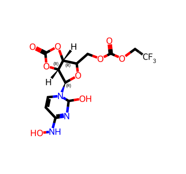 O=C(OCC1O[C@@H](N2C=CC(NO)=NC2O)[C@@H]2OC(=O)O[C@H]12)OCC(F)(F)F